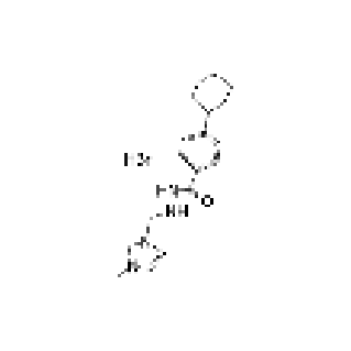 Br.CN1C=CN(CNNC(=O)c2ccc(C3CCCCC3)cc2)C1